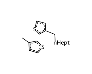 CCCCCCCCc1ccsc1.Cc1ccsc1